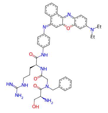 CCN(CC)c1ccc2nc3c4ccccc4c(=Nc4ccc(NC(=O)[C@H](CCCNC(=N)N)NC(=O)CN(Cc5ccccc5)C(=O)[C@@H](N)CO)cc4)cc-3oc2c1